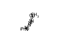 CC(C)c1noc(C2CCN(c3ccc4nc(-c5ccc(S(C)(=O)=O)cc5)sc4n3)CC2)n1